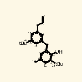 C=CCc1cc(Cc2cc(C)cc(C(C)(C)C)c2O)[c]c(C(C)(C)C)c1